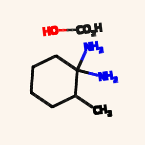 CC1CCCCC1(N)N.O=C(O)O